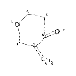 C=C1COCCC1=O